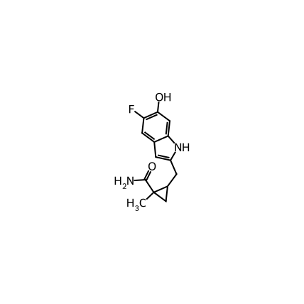 CC1(C(N)=O)CC1Cc1cc2cc(F)c(O)cc2[nH]1